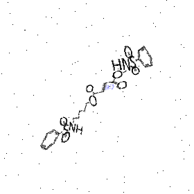 O=C(/C=C/C(=O)OCNS(=O)(=O)c1ccccc1)OCCCCCNS(=O)(=O)c1ccccc1